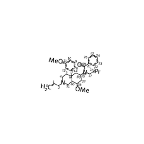 C=CCN1CCC2(c3cccc(OC)c3)C[C@@H](N(CC(C)C)C(=O)c3ccccc3)CC(OC)C2C1